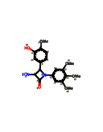 COc1ccc(C2C(N)C(=O)N2c2cc(OC)c(OC)c(OC)c2)cc1O